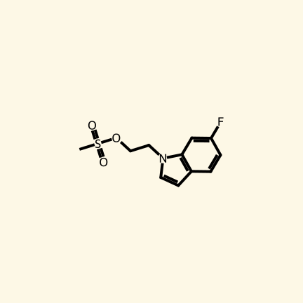 CS(=O)(=O)OCCn1ccc2ccc(F)cc21